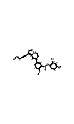 COc1ncc(-c2ccn3ncc(C#CCN=O)c3c2)cc1NSc1ccc(F)cc1F